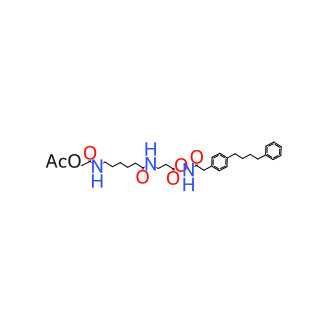 CC(=O)OCC(=O)NCCCCCC(=O)NCCC(=O)ONC(=O)Cc1ccc(CCCCc2ccccc2)cc1